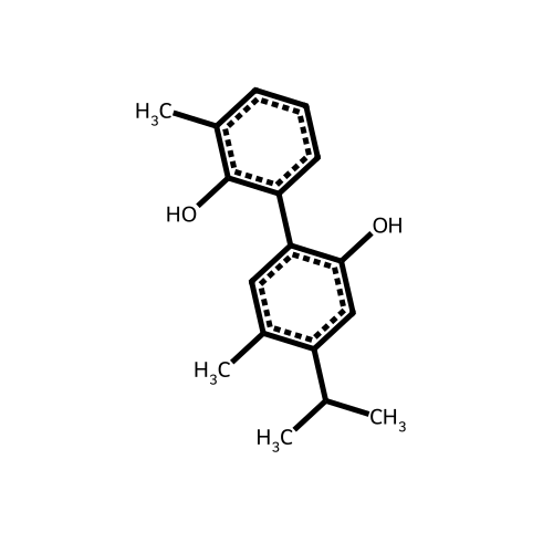 Cc1cc(-c2cccc(C)c2O)c(O)cc1C(C)C